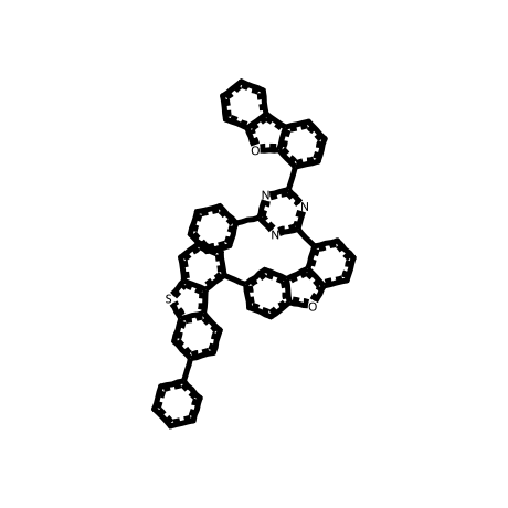 c1ccc(-c2ccc3c(c2)sc2cccc(-c4ccc5oc6cccc(-c7nc(-c8ccccc8)nc(-c8cccc9c8oc8ccccc89)n7)c6c5c4)c23)cc1